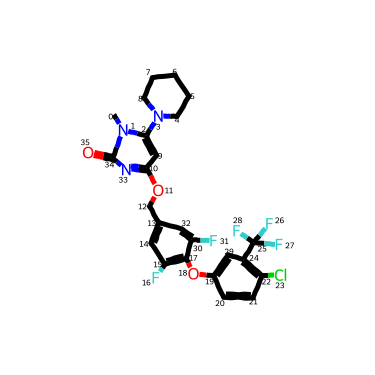 Cn1c(N2CCCCC2)cc(OCc2cc(F)c(Oc3ccc(Cl)c(C(F)(F)F)c3)c(F)c2)nc1=O